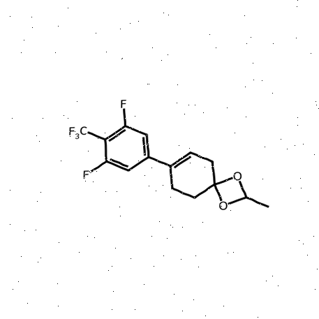 CC1OC2(CC=C(c3cc(F)c(C(F)(F)F)c(F)c3)CC2)O1